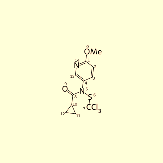 COc1ccc(N(SC(Cl)(Cl)Cl)C(=O)C2CC2)cn1